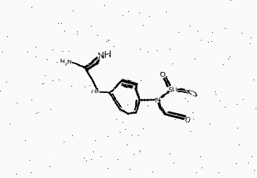 N=C(N)Nc1ccc(N(C=O)[SH](=O)=O)cc1